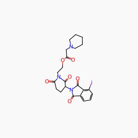 O=C(CN1CCCCC1)OCCN1C(=O)CCC(N2C(=O)c3cccc(I)c3C2=O)C1=O